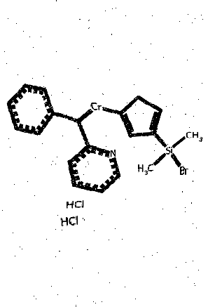 C[Si](C)(Br)C1=CC[C]([Cr][CH](c2ccccc2)c2ccccn2)=C1.Cl.Cl